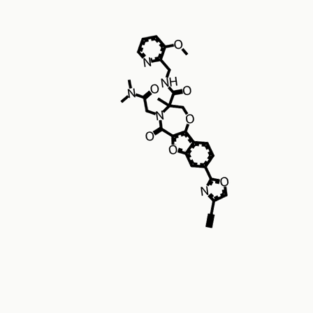 C#Cc1coc(-c2ccc3c4c(oc3c2)C(=O)N(CC(=O)N(C)C)C(C)(C(=O)NCc2ncccc2OC)CO4)n1